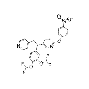 O=[N+]([O-])c1ccc(Oc2ccc(C(Cc3ccncc3)c3ccc(OC(F)F)c(OC(F)F)c3)cn2)cc1